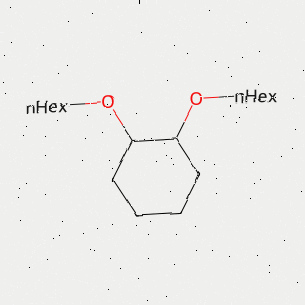 CCCCCCOC1CCCCC1OCCCCCC